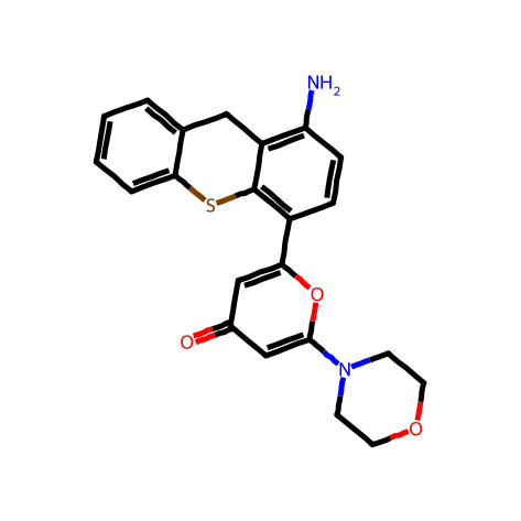 Nc1ccc(-c2cc(=O)cc(N3CCOCC3)o2)c2c1Cc1ccccc1S2